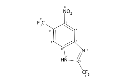 O=[N+]([O-])c1cc2nc(C(F)(F)F)[nH]c2cc1C(F)(F)F